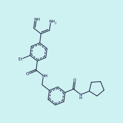 CCc1cc(/C(C=N)=C/N)ccc1C(=O)NCc1cccc(C(=O)NC2CCCC2)c1